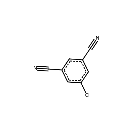 N#Cc1[c]c(Cl)cc(C#N)c1